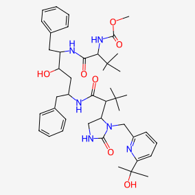 COC(=O)NC(C(=O)NC(Cc1ccccc1)C(O)CC(Cc1ccccc1)NC(=O)C(C1CNC(=O)N1Cc1cccc(C(C)(C)O)n1)C(C)(C)C)C(C)(C)C